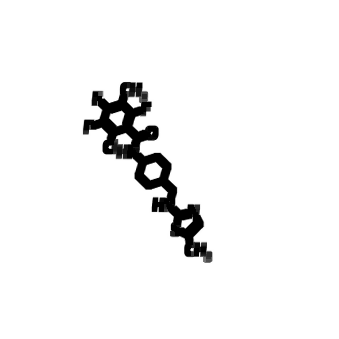 Cc1cnc(NCC2CCC(NC(=O)c3c(F)c(C)c(F)c(F)c3Cl)CC2)s1